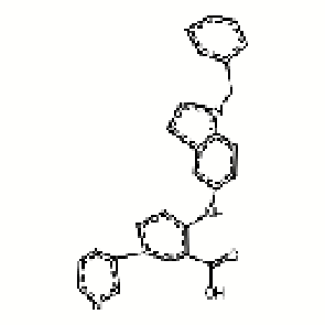 O=C(O)c1cc(-c2cccnc2)ccc1Nc1ccc2c(ccn2Cc2ccccc2)c1